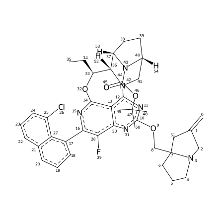 C=C1CN2CCCC2(COc2nc3c4c(nc(-c5cccc6cccc(Cl)c56)c(F)c4n2)O[C@@H](CC)[C@@H]2[C@@H]4CC[C@H](CN32)N4C(=O)OC(C)(C)C)C1